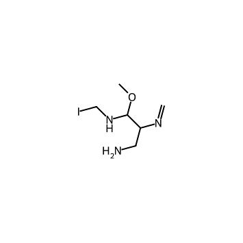 C=NC(CN)C(NCI)OC